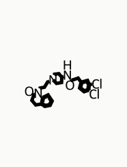 O=C(Cc1ccc(Cl)c(Cl)c1)NC1CCN(CCCN2C(=O)CCc3ccccc32)CC1